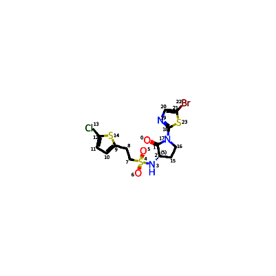 O=C1[C@@H](NS(=O)(=O)CCc2ccc(Cl)s2)CCN1c1ncc(Br)s1